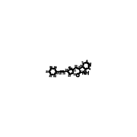 O=C1Nc2cnccc2C1=Cc1ccc(C#Cc2ccccc2)s1